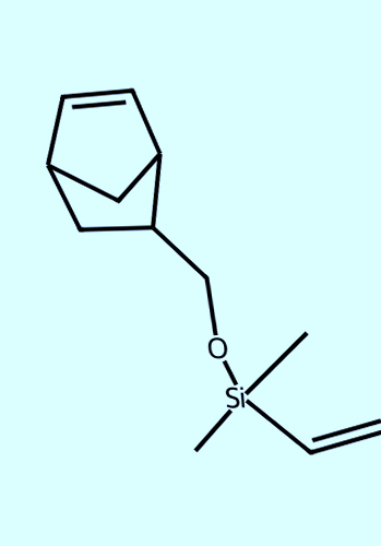 C=C[Si](C)(C)OCC1CC2C=CC1C2